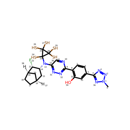 Cn1nnc(-c2ccc(-c3ncc(N([C@@H]4C[C@H]5CC[C@H](C5)[C@@H]4F)C4(S)C(S)(S)C4(S)S)nn3)c(O)c2)n1